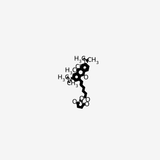 CN(C)c1ccc2c(c1)C(C)(C)c1cc(N(C)C)cc(/C=C/CCCC(=O)ON3C(=O)CCC3=O)c1C2=O